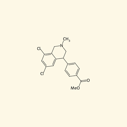 COC(=O)c1ccc(C2CN(C)Cc3c(Cl)cc(Cl)cc32)cc1